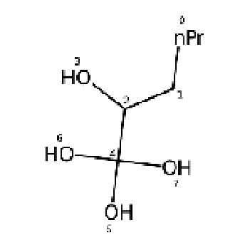 CCCCC(O)C(O)(O)O